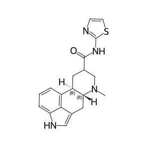 CN1CC(C(=O)Nc2nccs2)C[C@@H]2c3cccc4[nH]cc(c34)C[C@H]21